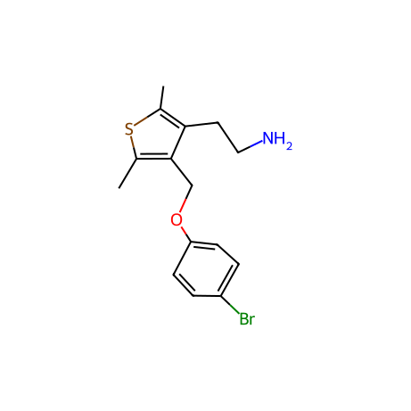 Cc1sc(C)c(COc2ccc(Br)cc2)c1CCN